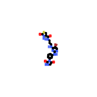 O=C1N[C@H](C(=O)NCCCNc2nc(Nc3cccc(N4C(=O)CNC4=O)c3)ncc2Br)CS1